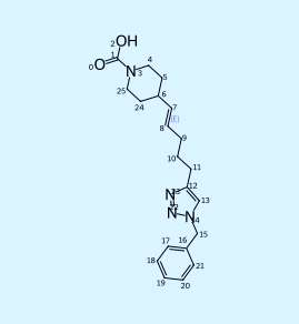 O=C(O)N1CCC(/C=C/CCCc2cn(Cc3ccccc3)nn2)CC1